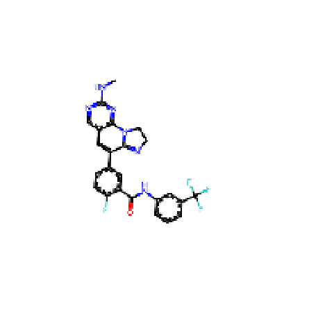 CNc1ncc2c(n1)N1CCN=C1C(c1ccc(F)c(C(=O)Nc3cccc(C(F)(F)F)c3)c1)=C2